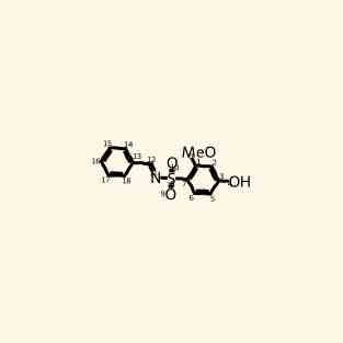 COc1cc(O)ccc1S(=O)(=O)N=Cc1ccccc1